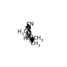 Cc1cc(C)nc(NS(=O)(=O)N2CCN(c3ccc(C#N)cn3)[C@H](C)C2)c1